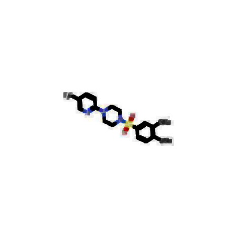 COc1c[c]c(S(=O)(=O)N2CCN(c3ccc(C(F)(F)F)cn3)CC2)cc1OC